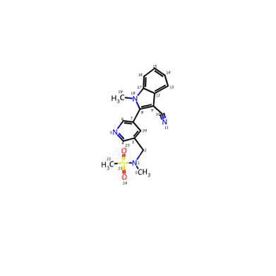 CN(Cc1cncc(-c2c(C#N)c3ccccc3n2C)c1)S(C)(=O)=O